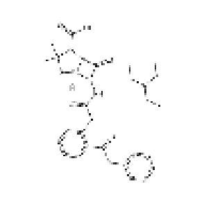 CC1(C)S[C@@H]2C(NC(=O)Cc3ccccc3C(=O)Oc3ccccc3)C(=O)N2C1C(=O)O.CCN(CC)CC